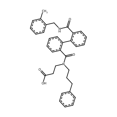 Cc1ccccc1CNC(=O)c1ccccc1-c1ccccc1C(=O)N(CCCc1ccccc1)CCC(=O)O